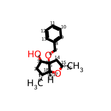 C[C@@H]1CC(O)[C@]2(OCc3ccccc3)C[C@H](C)O[C@H]12